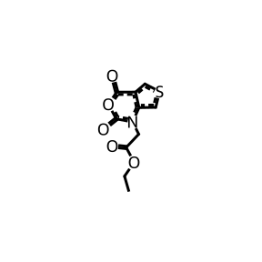 CCOC(=O)Cn1c(=O)oc(=O)c2cscc21